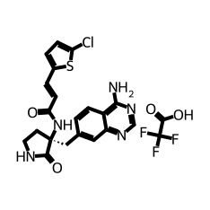 Nc1ncnc2cc(C[C@@]3(NC(=O)C=Cc4ccc(Cl)s4)CCNC3=O)ccc12.O=C(O)C(F)(F)F